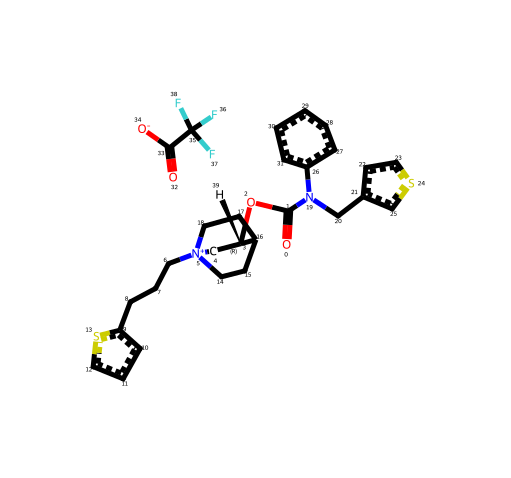 O=C(O[C@H]1C[N+]2(CCCc3cccs3)CCC1CC2)N(Cc1ccsc1)c1ccccc1.O=C([O-])C(F)(F)F